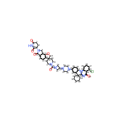 O=C1CC[C@H](N2Cc3c(ccc4c3OCC43CCN(C(=O)N4CC(N5CCN(c6ccc7c(c6)C6(CCCCC6)c6nc(=O)c8c(Cl)cccc8n6-7)CC5)C4)CC3)C2=O)C(=O)N1